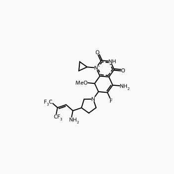 COC1c2c(c(=O)[nH]c(=O)n2C2CC2)C(N)=C(F)C1N1CCC(C(N)C=C(C(F)(F)F)C(F)(F)F)C1